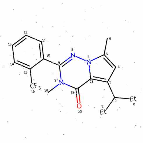 CCC(CC)c1cc(C)n2nc(-c3ccccc3C(F)(F)F)n(C)c(=O)c12